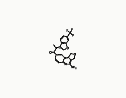 CN(C(=O)c1ccc2nc(N)c3c(c2c1)COC3)[C@@H]1COc2cc(C(F)(F)F)ccc21